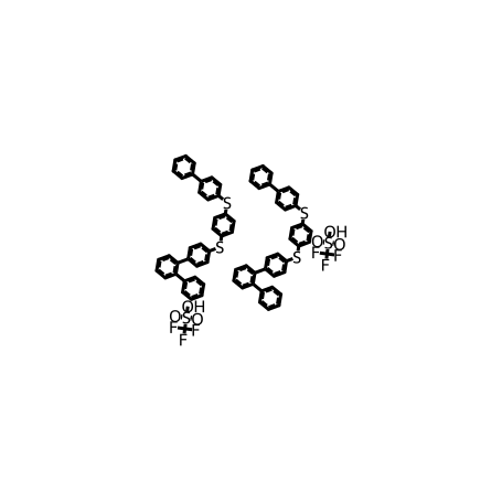 O=S(=O)(O)C(F)(F)F.O=S(=O)(O)C(F)(F)F.c1ccc(-c2ccc(Sc3ccc(Sc4ccc(-c5ccccc5-c5ccccc5)cc4)cc3)cc2)cc1.c1ccc(-c2ccc(Sc3ccc(Sc4ccc(-c5ccccc5-c5ccccc5)cc4)cc3)cc2)cc1